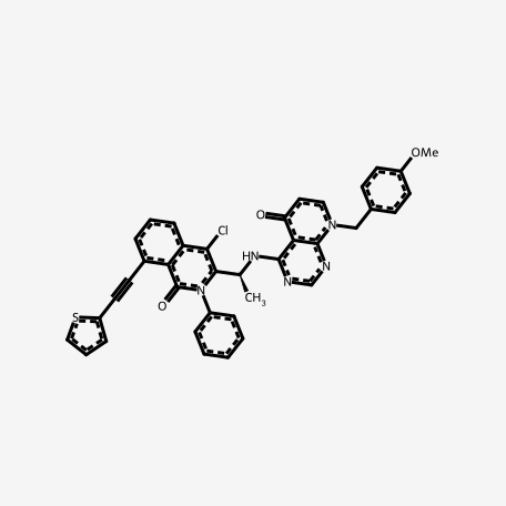 COc1ccc(Cn2ccc(=O)c3c(N[C@@H](C)c4c(Cl)c5cccc(C#Cc6cccs6)c5c(=O)n4-c4ccccc4)ncnc32)cc1